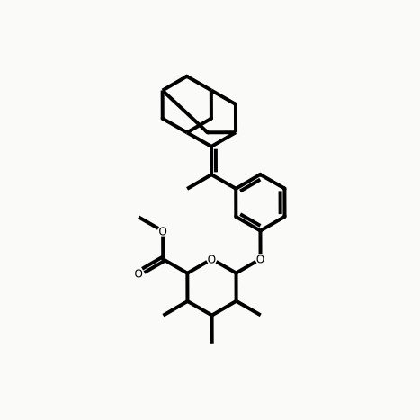 COC(=O)C1OC(Oc2cccc(C(C)=C3C4CC5CC(C4)CC3C5)c2)C(C)C(C)C1C